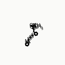 CO[Si](CCCc1ccccc1SSSSSc1nc2ccccc2s1)(OC)OC